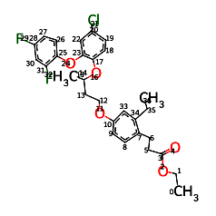 CCOC(=O)CCc1ccc(OCCC(C)Oc2ccc(Cl)cc2Oc2ccc(F)cc2F)cc1CC